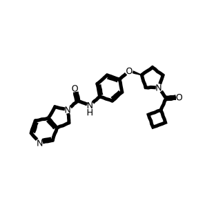 O=C(Nc1ccc(O[C@H]2CCN(C(=O)C3CCC3)C2)cc1)N1Cc2ccncc2C1